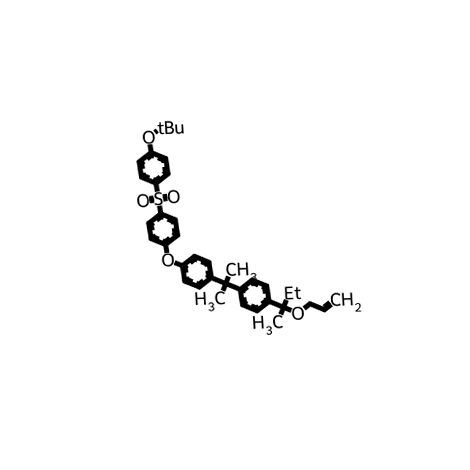 C=CCOC(C)(CC)c1ccc(C(C)(C)c2ccc(Oc3ccc(S(=O)(=O)c4ccc(OC(C)(C)C)cc4)cc3)cc2)cc1